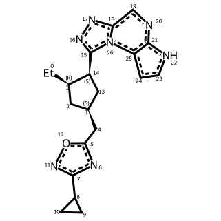 CC[C@@H]1C[C@H](Cc2nc(C3CC3)no2)C[C@@H]1c1nnc2cnc3[nH]ccc3n12